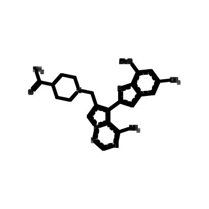 COc1cc(C)cc2cc(-c3c(CN4CCC(C(N)=O)CC4)cn4ncnc(N)c34)sc12